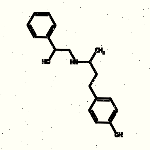 CC(CCc1ccc(O)cc1)NCC(O)c1ccccc1